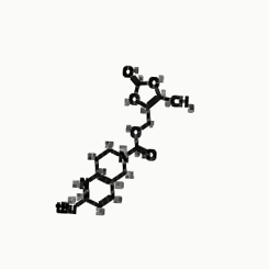 Cc1oc(=O)oc1COC(=O)N1CCc2nc(C(C)(C)C)ccc2C1